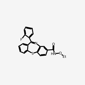 CCONC(=O)c1ccc2c(c1)N=C(c1ccccc1F)c1ccccc1S2